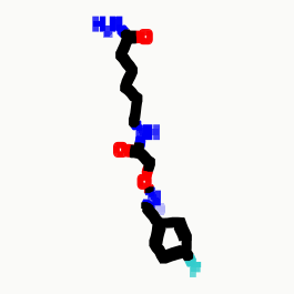 NC(=O)CCCCCNC(=O)CO/N=C/c1ccc(F)cc1